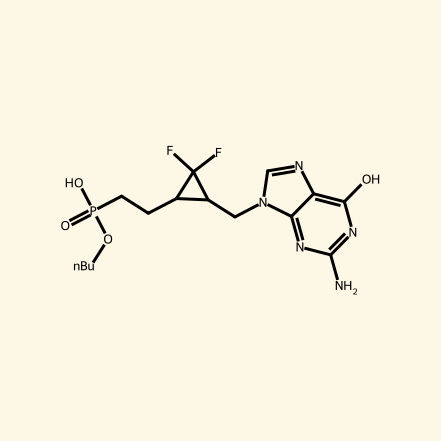 CCCCOP(=O)(O)CCC1C(Cn2cnc3c(O)nc(N)nc32)C1(F)F